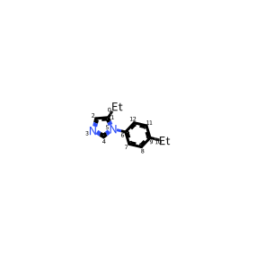 [CH2]Cc1cncn1-c1ccc(CC)cc1